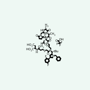 C[C@H](NC(=O)CN1C(=O)C=CC1=O)C(=O)N[C@H](C)C(=O)N[C@@H](CC(N)=O)C(=O)NCCCN(C(=O)CSCCC(=O)N[C@H](CC(=O)O)C(=O)O)[C@@H](c1cc(-c2cc(F)ccc2F)cn1Cc1ccccc1)C(C)(C)C.O=C(O)C(F)(F)F